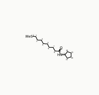 CSCCCCCCCCC(=O)NC1CCCC1